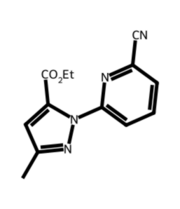 CCOC(=O)c1cc(C)nn1-c1cccc(C#N)n1